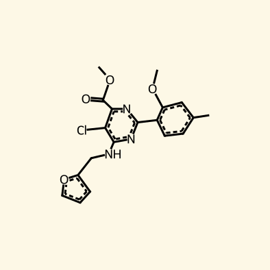 COC(=O)c1nc(-c2ccc(C)cc2OC)nc(NCc2ccco2)c1Cl